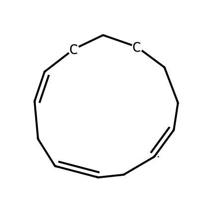 [C]1=CCCCCCC=CCC=CC1